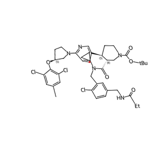 CCC(=O)NCc1ccc(Cl)c(CN(C(=O)[C@H]2CN(C(=O)OC(C)(C)C)CC[C@@H]2c2ccc(N3CC[C@H](Oc4c(Cl)cc(C)cc4Cl)C3)nc2)C2CC2)c1